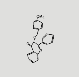 COc1ccc(COC2C(=O)c3ccccc3N=C2c2ccccc2)cc1